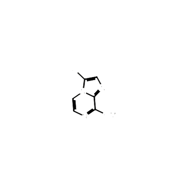 COc1nccn2c(Br)cnc12